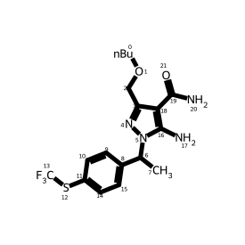 CCCCOCc1nn(C(C)c2ccc(SC(F)(F)F)cc2)c(N)c1C(N)=O